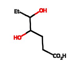 CCC(O)C(O)CCC(=O)O